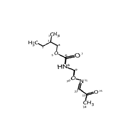 CCC(C)COC(=O)NCO/N=C/C(C)=O